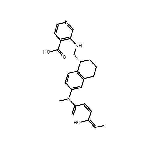 C=C(/C=C\C(O)=C/C)N(C)c1ccc2c(c1)CCC[C@H]2CNc1cnccc1C(=O)O